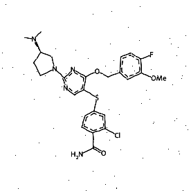 COc1cc(COc2nc(N3CC[C@@H](N(C)C)C3)ncc2Sc2ccc(C(N)=O)c(Cl)c2)ccc1F